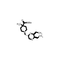 C/C=C1/OC[C@H](CN2CCC(C)(C(=O)NC)CC2)O/C1=C/C